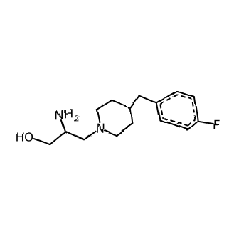 NC(CO)CN1CCC(Cc2ccc(F)cc2)CC1